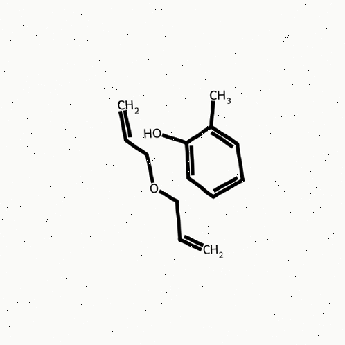 C=CCOCC=C.Cc1ccccc1O